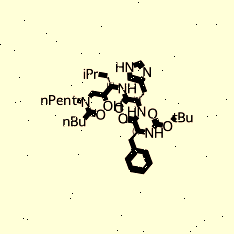 CCCCCN(CC(O)[C@H](CC(C)C)NC(=O)[C@H](Cc1c[nH]cn1)NC(=O)[C@H](Cc1ccccc1)NC(=O)OC(C)(C)C)C(=O)CCCC